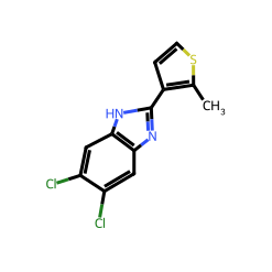 Cc1sccc1-c1nc2cc(Cl)c(Cl)cc2[nH]1